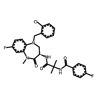 CN1C(=O)[C@H](NC(=O)C(C)(C)NC(=O)c2ccc(F)cc2)CN(Cc2ccccc2Cl)c2ccc(F)cc21